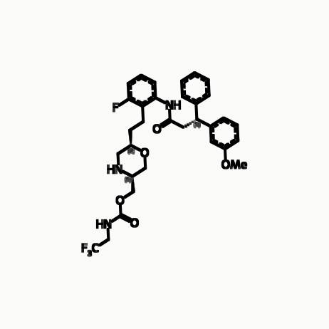 COc1cccc([C@H](CC(=O)Nc2cccc(F)c2CC[C@@H]2CN[C@H](COC(=O)NCC(F)(F)F)CO2)c2ccccc2)c1